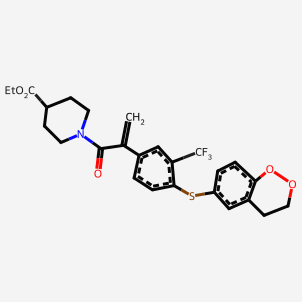 C=C(C(=O)N1CCC(C(=O)OCC)CC1)c1ccc(Sc2ccc3c(c2)CCOO3)c(C(F)(F)F)c1